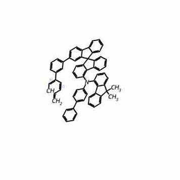 C=C/C=C\C(=C/C)c1cccc(-c2ccc3c(c2)C2(c4ccccc4-3)c3ccccc3-c3c(N(c4ccc(-c5ccccc5)cc4)c4cccc5c4-c4ccccc4C5(C)C)cccc32)c1